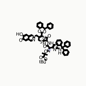 CC(C)(C)OC(=O)C(C)(C)O/N=C(\C(=O)NC1C(=O)N2C(C(=O)OC(c3ccccc3)c3ccccc3)=C(Cn3cc4cc(O)c(=O)cc-4cn3)CS[C@@H]12)c1csc(NC(c2ccccc2)(c2ccccc2)c2ccccc2)n1